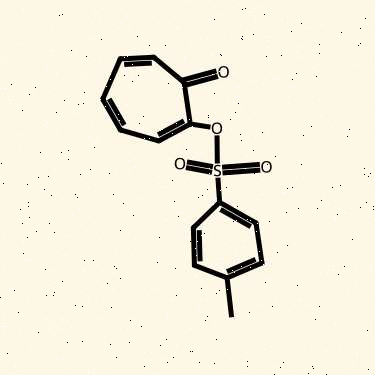 Cc1ccc(S(=O)(=O)Oc2cccccc2=O)cc1